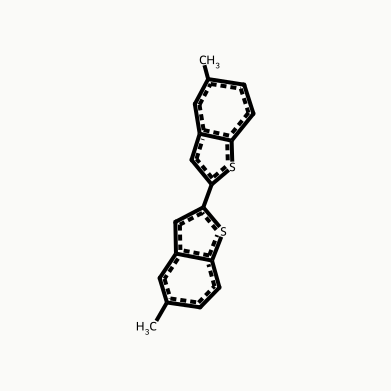 Cc1ccc2sc(-c3cc4cc(C)ccc4s3)cc2c1